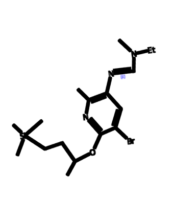 CCN(C)/C=N/c1cc(Br)c(OC(C)CC[Si](C)(C)C)nc1C